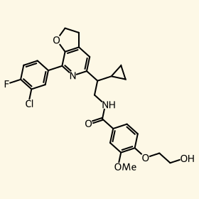 COc1cc(C(=O)NCC(c2cc3c(c(-c4ccc(F)c(Cl)c4)n2)OCC3)C2CC2)ccc1OCCO